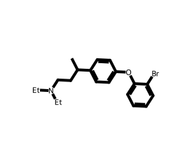 CCN(CC)CCC(C)c1ccc(Oc2ccccc2Br)cc1